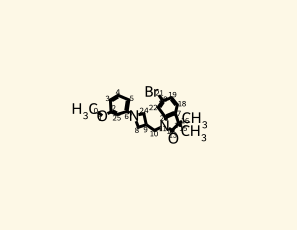 COc1cccc(N2CC(CN3C(=O)C(C)(C)c4ccc(Br)cc43)C2)c1